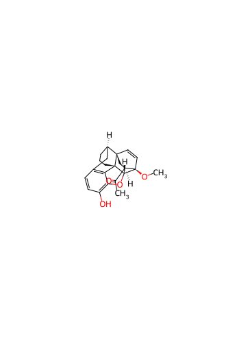 CO[C@]12C=C[C@@]3(C[C@@H]1C(C)=O)[C@@H]1CCC[C@@]34c3c(ccc(O)c3O[C@@H]24)C1